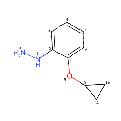 NNc1ccccc1OC1CC1